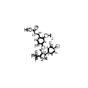 Cc1cc(OCc2c(-c3ccc(Cl)c(F)c3)nsc2C(F)(F)F)c(F)cc1CCC(=O)O